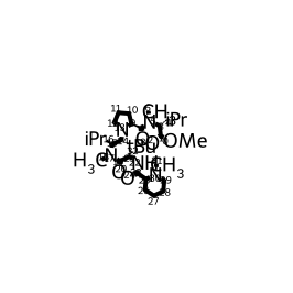 COC(=O)[C@@H](C(C)C)N(C)C(=O)[C@@H]1CCCN1C[C@H](C(C)C)N(C)C(=O)[C@@H](NC(=O)C1CCCCN1C)C(C)(C)C